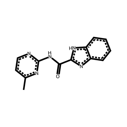 Cc1ccnc(NC(=O)c2nc3ccccc3[nH]2)n1